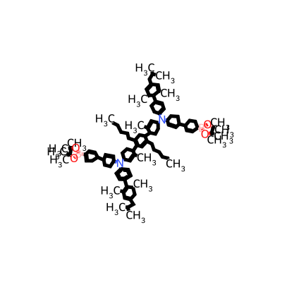 CCCCCCC1=CC(C2CCC(N(c3ccc(C4=C(C)C=C(CC(C)C)CC4C)cc3)C3C=CC(C4C=CC(B5OC(C)(C)C(C)(C)O5)=CC4)CC3)C=C2C)=C(CCCCCC)CC1C1CCC(N(C2=CC=C(C3C(C)=CC(CC(C)C)=CC3C)CC2)C2C=CC(C3C=CC(B4OC(C)(C)C(C)(C)O4)CC3)CC2)C=C1C